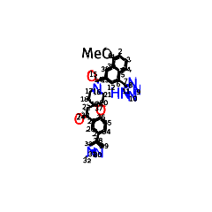 COc1cccc2c(-c3nnn[nH]3)cc(C(=O)N3CCC4(CC3)CC(=O)c3cc(-c5cnn(C)c5)ccc3O4)cc12